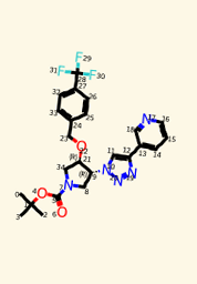 CC(C)(C)OC(=O)N1C[C@@H](n2cc(-c3cccnc3)nn2)[C@H](OCc2ccc(C(F)(F)F)cc2)C1